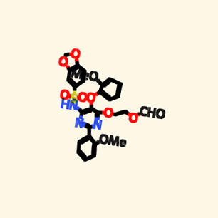 COc1ccccc1Oc1c(NS(=O)(=O)c2ccc3c(c2)OCO3)nc(-c2ccccc2OC)nc1OCCOC=O